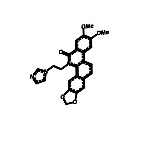 COc1cc2c(=O)n(CCn3ccnc3)c3c4cc5c(cc4ccc3c2cc1OC)OCO5